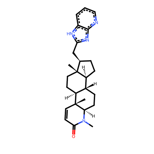 CN1C(=O)C=C[C@]2(C)[C@H]3CC[C@]4(C)[C@@H](Cc5nc6ncccc6[nH]5)CC[C@H]4[C@@H]3CC[C@@H]12